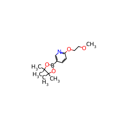 COCCOc1ccc(B2OC(C)(C)C(C)(C)O2)cn1